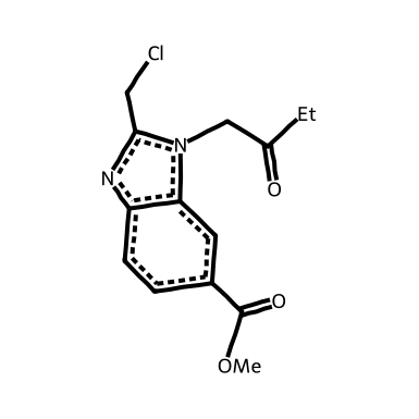 CCC(=O)Cn1c(CCl)nc2ccc(C(=O)OC)cc21